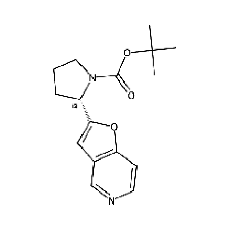 CC(C)(C)OC(=O)N1CCC[C@H]1c1cc2cnccc2o1